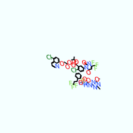 CC(C)OC(=O)c1cc(-n2c(=O)cc(C(F)(F)F)n(C)c2=O)ccc1Cl.COc1nc(C)nc(NC(=O)NS(=O)(=O)c2ccccc2CCC(F)(F)F)n1.O=C(O)COc1ccc(Cl)c2cccnc12